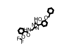 O=C(NCc1n[nH]c(-c2cccc(OCc3ccccc3)c2O)n1)c1ccccc1OC(F)F